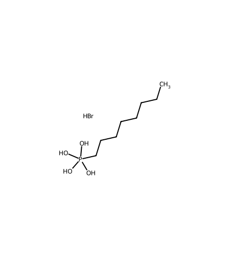 Br.CCCCCCCCP(O)(O)(O)O